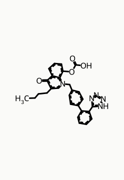 CCCCc1cn(Cc2ccc(-c3ccccc3-c3nnn[nH]3)cc2)c2c(OC(=O)O)cccc2c1=O